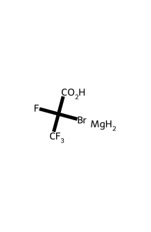 O=C(O)C(F)(Br)C(F)(F)F.[MgH2]